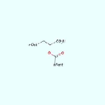 CCCCCCCCCC(OC(=O)CCCCC)C(=O)O